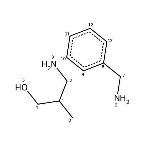 CC(CN)CO.NCc1ccccc1